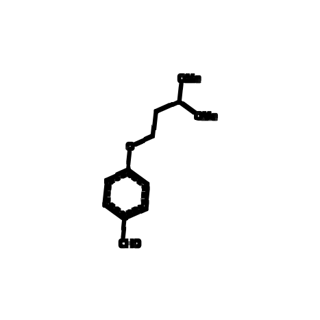 COC(CCOc1ccc(C=O)cc1)OC